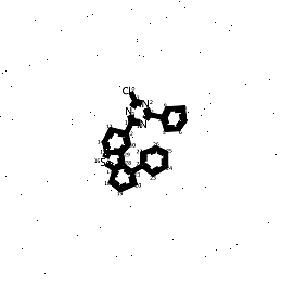 Clc1nc(-c2ccccc2)nc(-c2ccc3sc4cccc(-c5ccccc5)c4c3c2)n1